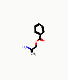 C=C(N)COC(=O)c1ccccc1